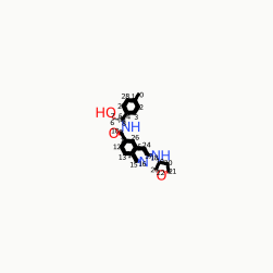 Cc1ccc([C@@H](CO)NC(=O)c2ccc3cnc(NC4CCOC4)cc3c2)cc1